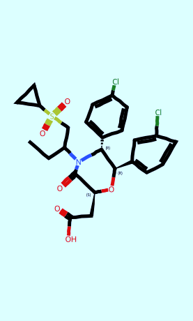 CCC(CS(=O)(=O)C1CC1)N1C(=O)[C@H](CC(=O)O)O[C@H](c2cccc(Cl)c2)[C@H]1c1ccc(Cl)cc1